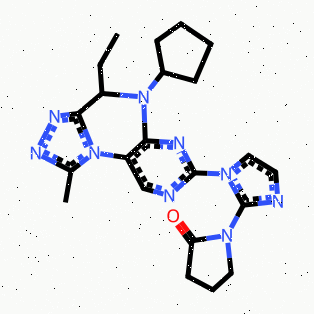 CCC1c2nnc(C)n2-c2cnc(-n3ccnc3N3CCCC3=O)nc2N1C1CCCC1